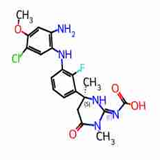 COc1cc(N)c(Nc2cccc([C@]3(C)CC(=O)N(C)/C(=N/C(=O)O)N3)c2F)cc1Cl